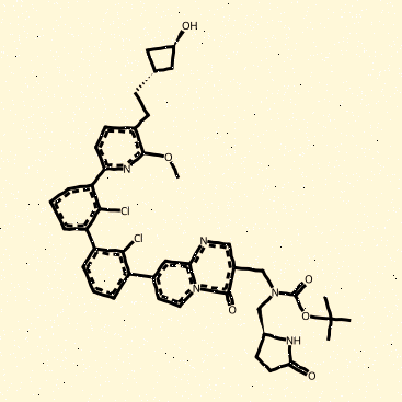 COc1nc(-c2cccc(-c3cccc(-c4ccn5c(=O)c(CN(C[C@@H]6CCC(=O)N6)C(=O)OC(C)(C)C)cnc5c4)c3Cl)c2Cl)ccc1CC[C@H]1C[C@H](O)C1